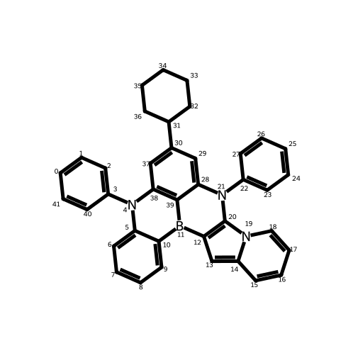 c1ccc(N2c3ccccc3B3c4cc5ccccn5c4N(c4ccccc4)c4cc(C5CCCCC5)cc2c43)cc1